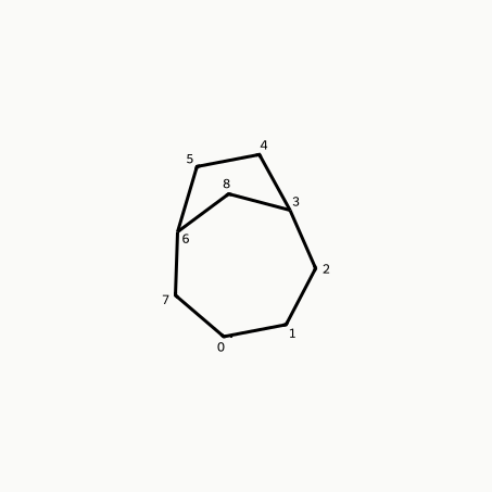 [CH]1CCC2CCC(C1)C2